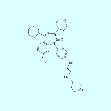 Cc1ccc2c(c1)N(c1ccc(NCCNC3CCNCC3)cn1)C(=O)N(C1CCOCC1)N=C2C1CCCCC1